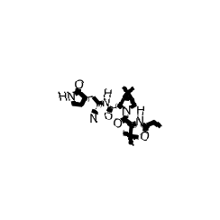 CCC(=O)NC(C(=O)N1CC2C([C@H]1C(=O)N[C@H](C#N)C[C@@H]1CCNC1=O)C2(C)C)C(C)(C)C